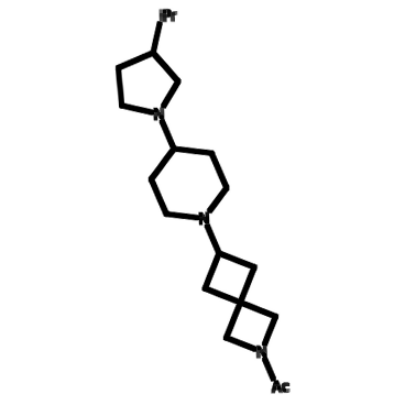 CC(=O)N1CC2(CC(N3CCC(N4CCC(C(C)C)C4)CC3)C2)C1